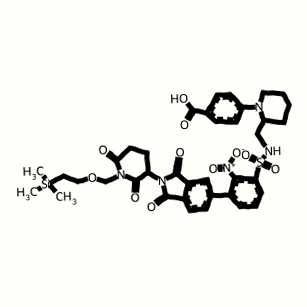 C[Si](C)(C)CCOCN1C(=O)CCC(N2C(=O)c3ccc(-c4cccc(S(=O)(=O)NCC5CCCCN5c5ccc(C(=O)O)cc5)c4[N+](=O)[O-])cc3C2=O)C1=O